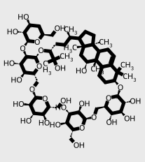 C[C@H](CC[C@@H](O[C@@H]1O[C@H](CO[C@H]2O[C@H](CO)[C@@H](O)[C@H](O)[C@H]2O)[C@@H](O)[C@H](O)[C@H]1O[C@@H]1O[C@H](CO)C[C@H](O)[C@H]1O)C(C)(C)O)C1CC[C@@]2(C)C3CC=C4C(CC[C@H](O[C@@H]5O[C@H](CO[C@H]6O[C@H](CO)[C@@H](O)[C@H](O)[C@H]6O)[C@@H](O)[C@H](O)[C@H]5O)C4(C)C)[C@]3(C)[C@H](O)C[C@]12C